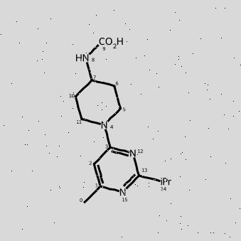 Cc1cc(N2CCC(NC(=O)O)CC2)nc(C(C)C)n1